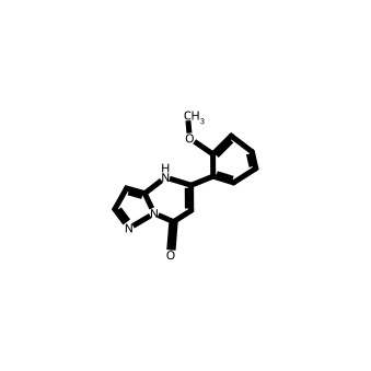 COc1ccccc1-c1cc(=O)n2nccc2[nH]1